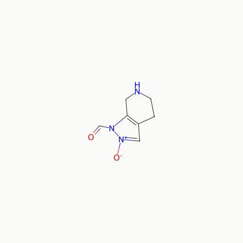 O=Cn1c2c(c[n+]1[O-])CCNC2